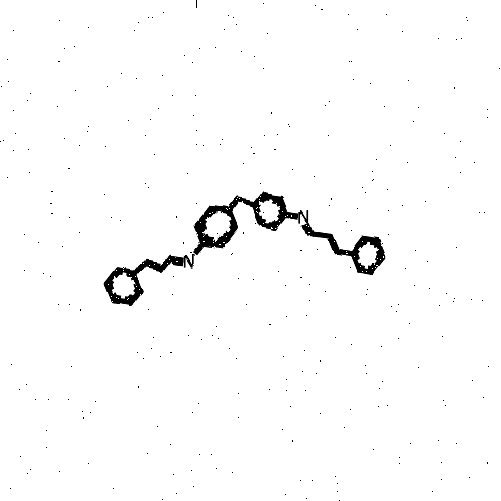 C(=Cc1ccccc1)C=Nc1ccc(Cc2ccc(N=CC=Cc3ccccc3)cc2)cc1